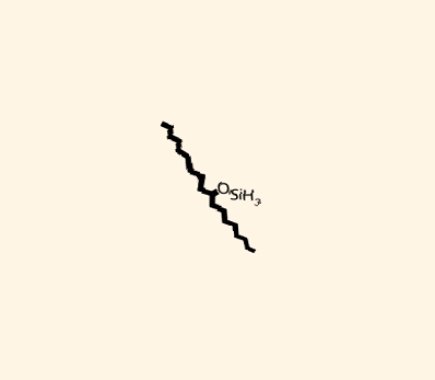 CCCCCCCCCC(CCCCCCCC)O[SiH3]